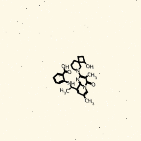 Cc1cc([C@@H](C)Nc2ccccc2C(=O)O)c2nc(N3CCCC4(CCC4O)C3)c(C)c(=O)n2c1